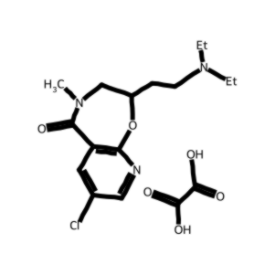 CCN(CC)CCC1CN(C)C(=O)c2cc(Cl)cnc2O1.O=C(O)C(=O)O